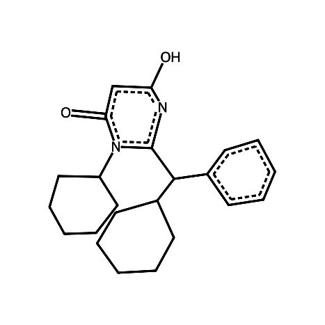 O=c1cc(O)nc(C(c2ccccc2)C2CCCCC2)n1C1CCCCC1